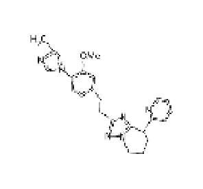 COc1cc(C=Cc2nc3n(n2)CCCC3c2ccccn2)ccc1-n1cnc(C)c1